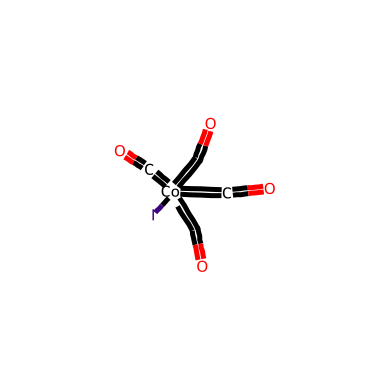 O=[C]=[Co]([I])(=[C]=O)(=[C]=O)=[C]=O